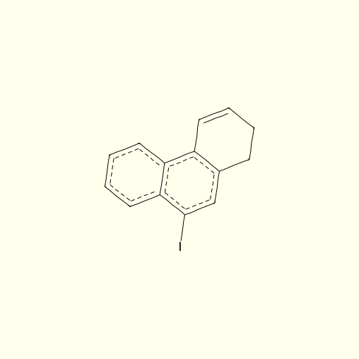 Ic1cc2c(c3ccccc13)C=CCC2